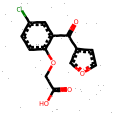 O=C(O)COc1ccc(Cl)cc1C(=O)c1ccoc1